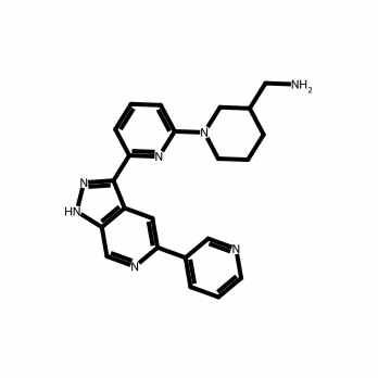 NCC1CCCN(c2cccc(-c3n[nH]c4cnc(-c5cccnc5)cc34)n2)C1